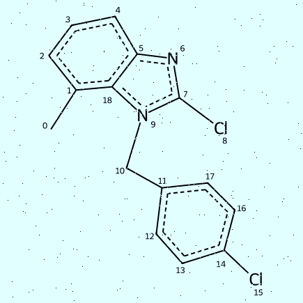 Cc1cccc2nc(Cl)n(Cc3ccc(Cl)cc3)c12